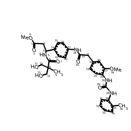 COC(=O)CC(NC(=O)C(C)(CO)CO)c1ccc(NC(=O)Cc2ccc(NC(=O)Nc3ccccc3C)c(OC)c2)cc1